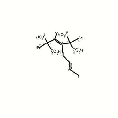 CC=CCC(=C(C)C(C(=O)O)(C(=O)O)C(C)C)C(C(=O)O)(C(=O)O)C(C)C